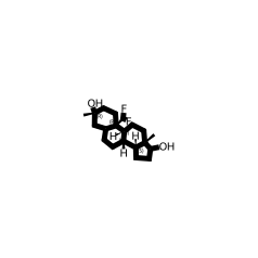 C[C@@]1(O)CC[C@@]2(C(F)F)C(CC[C@@H]3[C@@H]2CC[C@]2(C)C(O)CC[C@@H]32)C1